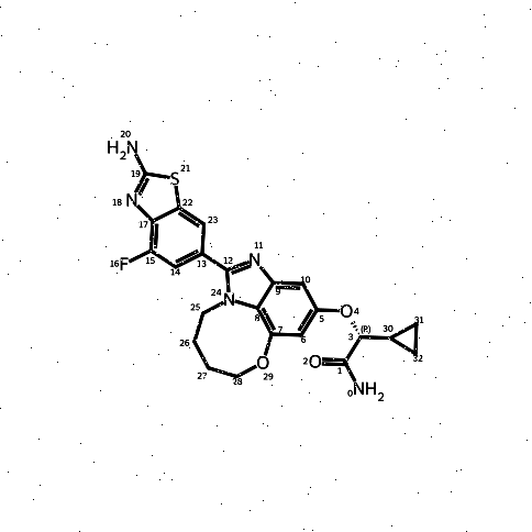 NC(=O)[C@H](Oc1cc2c3c(c1)nc(-c1cc(F)c4nc(N)sc4c1)n3CCCCO2)C1CC1